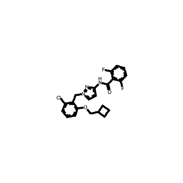 O=C(Nc1ccn(Cc2c(Cl)cccc2OCC2CCC2)n1)c1c(F)cccc1F